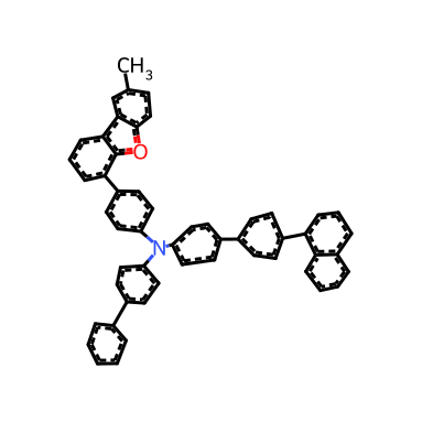 Cc1ccc2oc3c(-c4ccc(N(c5ccc(-c6ccccc6)cc5)c5ccc(-c6ccc(-c7cccc8ccccc78)cc6)cc5)cc4)cccc3c2c1